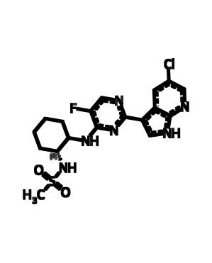 CS(=O)(=O)N[C@@H]1CCCCC1Nc1nc(-c2c[nH]c3ncc(Cl)cc23)ncc1F